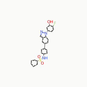 O=S(=O)(Nc1ccc(-c2ccc3c(cnn3-c3ccc(F)c(O)c3)c2)cc1)c1ccccc1